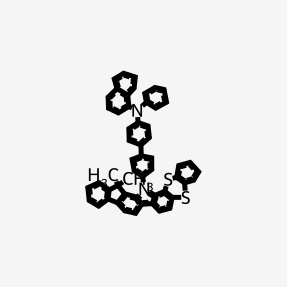 CC1(C)c2ccccc2-c2ccc3c4ccc5c(c4n(-c4ccc(-c6ccc(N(c7ccccc7)c7cccc8ccccc78)cc6)cc4)c3c21)Sc1ccccc1S5